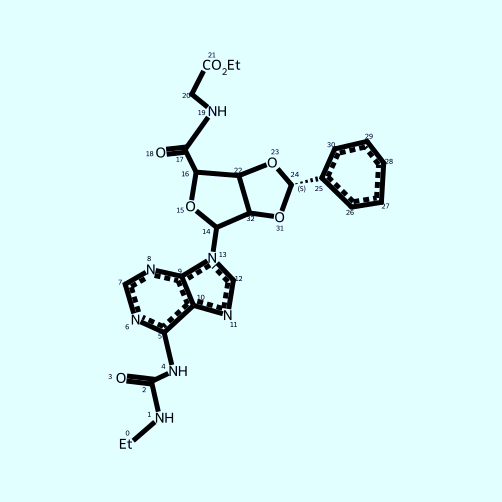 CCNC(=O)Nc1ncnc2c1ncn2C1OC(C(=O)NCC(=O)OCC)C2O[C@H](c3ccccc3)OC21